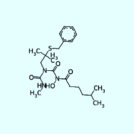 CNC(=O)N(CC(C)(C)SCc1ccccc1)C(=O)N(O)C(=O)CCCC(C)C